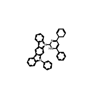 C1=CCC(C2=NC(n3c4ccccc4c4cc5c6ccccc6n(-c6ccccc6)c5cc43)NC(c3ccccc3)=C2)C=C1